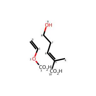 C=COC(=O)O.CC(=CCCO)C(=O)O